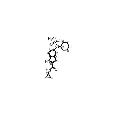 CS(=O)(=O)N(c1ccc2[nH]c(C(=O)NC3CC3)cc2c1)C1CCCCC1